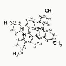 Cc1ccc(N(/C(=C2\C=CC=CC2)c2ccccc2C(C)N(c2ccc(C)cc2)c2ccc(C)cc2)c2ccc(C)cc2)cc1